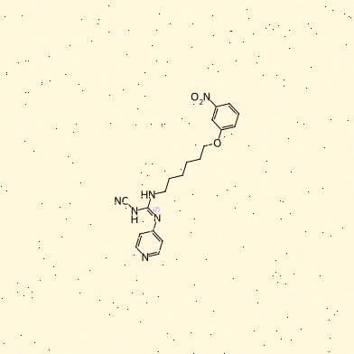 N#CN/C(=N\c1ccncc1)NCCCCCCOc1cccc([N+](=O)[O-])c1